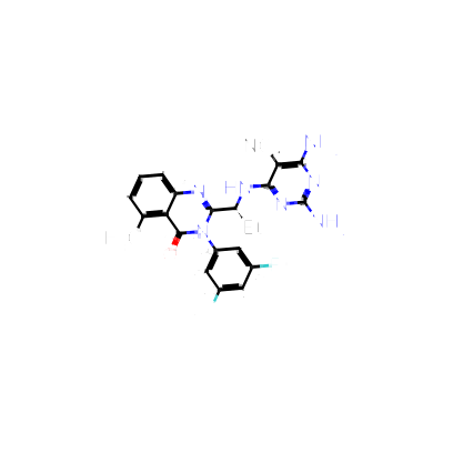 CC[C@H](Nc1nc(N)nc(N)c1C#N)c1nc2cccc(C)c2c(=O)n1-c1cc(F)cc(F)c1